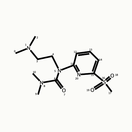 CN(C)CCN(C(=O)N(C)C)c1cccc(S(C)(=O)=O)n1